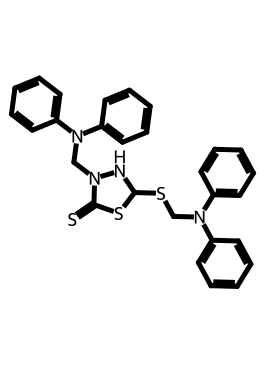 S=C1SC(SCN(c2ccccc2)c2ccccc2)NN1CN(c1ccccc1)c1ccccc1